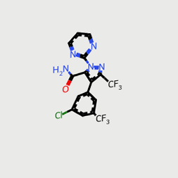 NC(=O)c1c(-c2cc(Cl)cc(C(F)(F)F)c2)c(C(F)(F)F)nn1-c1ncccn1